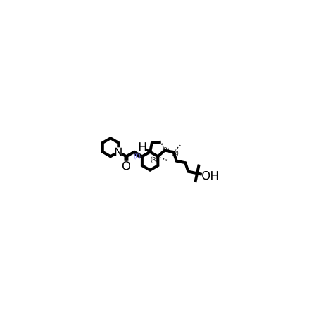 C[C@H](CCCC(C)(C)O)[C@H]1CC[C@H]2/C(=C/C(=O)N3CCCCC3)CCC[C@]12C